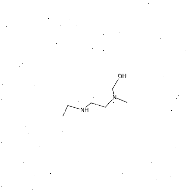 CCNCCN(C)CO